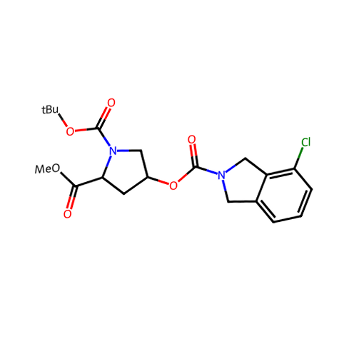 COC(=O)C1CC(OC(=O)N2Cc3cccc(Cl)c3C2)CN1C(=O)OC(C)(C)C